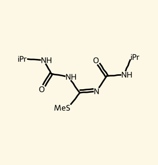 CSC(=NC(=O)NC(C)C)NC(=O)NC(C)C